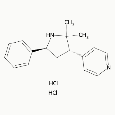 CC1(C)N[C@H](c2ccccc2)C[C@H]1c1ccncc1.Cl.Cl